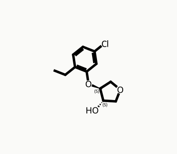 CCc1ccc(Cl)cc1O[C@H]1COC[C@@H]1O